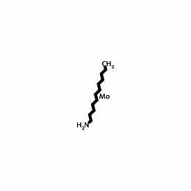 CCCCCCCCCCCCN.[Mo]